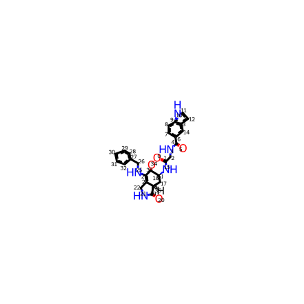 O=C(CNC(=O)c1ccc2[nH]ccc2c1)N[C@H]1C[C@H]2C(=O)NCC2=C(NCc2ccccc2)C1=O